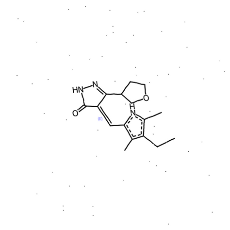 CCc1c(C)[nH]c(/C=C2/C(=O)NN=C2C2CCOC2)c1C